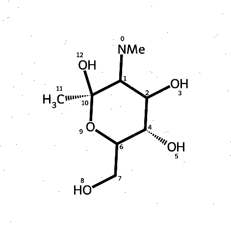 CNC1C(O)[C@H](O)C(CO)O[C@@]1(C)O